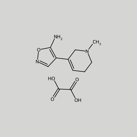 CN1CCC=C(c2cnoc2N)C1.O=C(O)C(=O)O